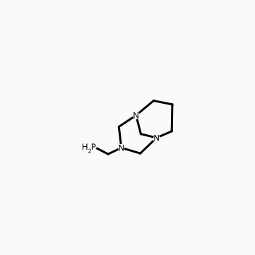 PCN1CN2CCCN(C1)C2